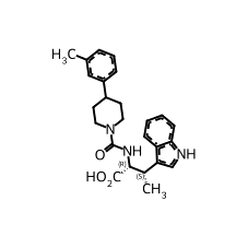 Cc1cccc(C2CCN(C(=O)N[C@@H](C(=O)O)[C@@H](C)c3c[nH]c4ccccc34)CC2)c1